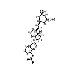 CC(CN1CCCC(CC(F)F)C1)[C@H]1CC[C@H]2C(=CC=C3C[C@@H](O)C[C@H](O)C3)CCC[C@]12C